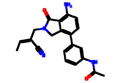 CC=C(C#N)CN1Cc2c(-c3cccc(NC(C)=O)c3)ccc(N)c2C1=O